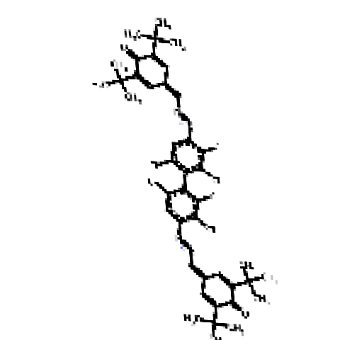 CC(C)(C)C1=CC(=C/N=N/c2cc(Cl)c(-c3c(Cl)cc(/N=N/C=C4C=C(C(C)(C)C)C(=O)C(C(C)(C)C)=C4)c(Cl)c3Cl)c(Cl)c2Cl)C=C(C(C)(C)C)C1=O